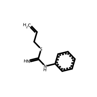 C=CCSC(=N)Nc1ccccc1